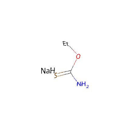 CCOC(N)=S.[NaH]